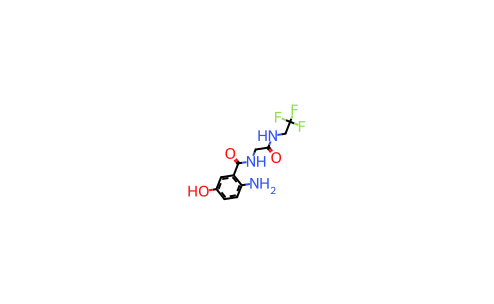 Nc1ccc(O)cc1C(=O)NCC(=O)NCC(F)(F)F